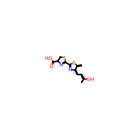 C=c1sc(C2=NC(C(=O)O)CS2)n/c1=C/C=C(\C)O